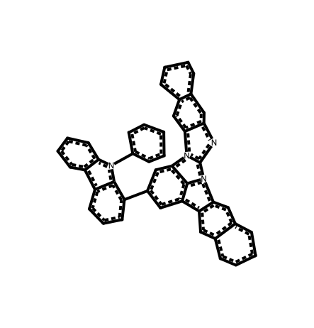 c1ccc(-n2c3ccccc3c3cccc(-c4cc5c6cc7ccccc7cc6n6c5c(c4)n4c5cc7ccccc7cc5nc46)c32)cc1